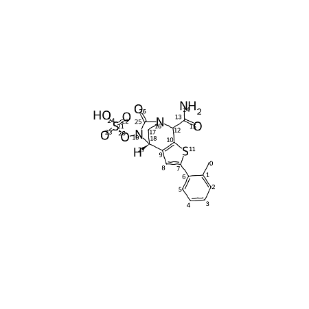 Cc1ccccc1-c1cc2c(s1)C(C(N)=O)N1C[C@H]2N(OS(=O)(=O)O)C1=O